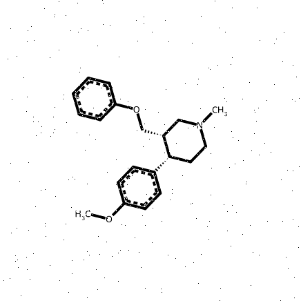 COc1ccc([C@H]2CCN(C)C[C@H]2COc2ccccc2)cc1